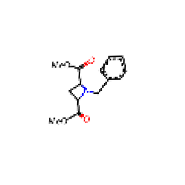 COC(=O)C1CC(C(=O)OC)N1Cc1ccccc1